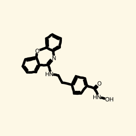 O=C(NO)c1ccc(CCNC2=Nc3ccccc3Oc3ccccc32)cc1